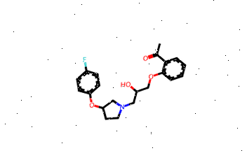 CC(=O)c1ccccc1OCC(O)CN1CCC(Oc2ccc(F)cc2)C1